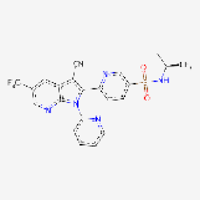 C[C@H](NS(=O)(=O)c1ccc(-c2c(C#N)c3cc(C(F)(F)F)cnc3n2-c2ccccn2)nc1)C(F)(F)F